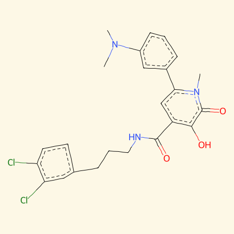 CN(C)c1cccc(-c2cc(C(=O)NCCCc3ccc(Cl)c(Cl)c3)c(O)c(=O)n2C)c1